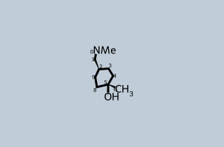 CNC[C@H]1CC[C@](C)(O)CC1